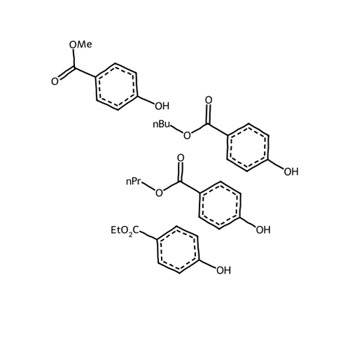 CCCCOC(=O)c1ccc(O)cc1.CCCOC(=O)c1ccc(O)cc1.CCOC(=O)c1ccc(O)cc1.COC(=O)c1ccc(O)cc1